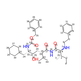 CC[C@H](C)[C@H](NCCc1ccccc1)C(=O)NC(=O)[C@@H](C[C@H](O)[C@H](CC1CCCCC1)NC(=O)OCc1ccccc1)C(C)C